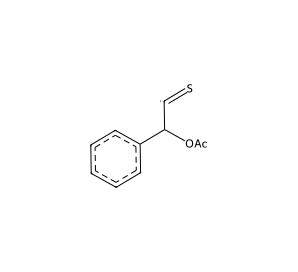 CC(=O)OC([C]=S)c1ccccc1